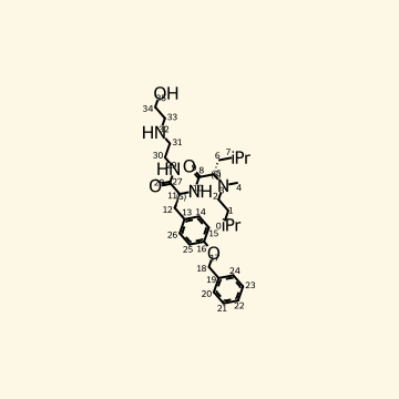 CC(C)CCN(C)[C@@H](CC(C)C)C(=O)N[C@@H](Cc1ccc(OCc2ccccc2)cc1)C(=O)NCCNCCO